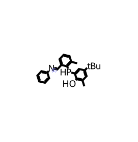 Cc1cc(C(C)(C)C)cc(Pc2c(C)cccc2/C=N/c2ccccc2)c1O